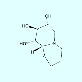 O[C@@H]1[C@@H](O)[C@H]2[CH][CH]CCN2C[C@H]1O